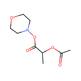 CC(=O)OC(C)C(=O)ON1CCOCC1